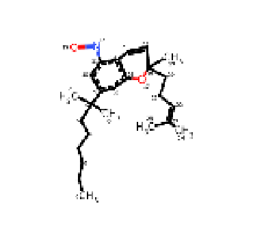 CCCCCCC(C)(C)c1cc(N=O)c2c(c1)OC(C)(CCC=C(C)C)C=C2